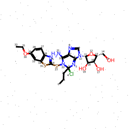 CCCC1(Cl)N=c2c(ncn2[C@@H]2O[C@H](CO)[C@@H](O)[C@H]2O)=C(N)N1Sc1nc2ccc(OCC)cc2s1